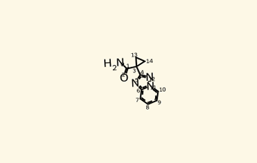 NC(=O)C1(c2nc3ccccn3n2)CC1